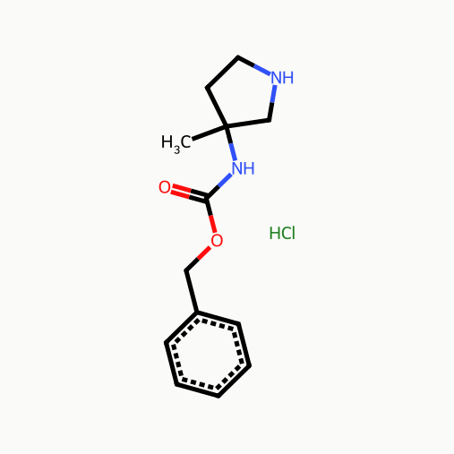 CC1(NC(=O)OCc2ccccc2)CCNC1.Cl